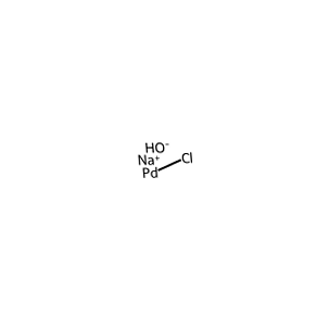 [Cl][Pd].[Na+].[OH-]